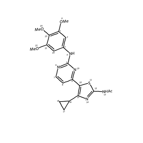 COc1cc(Nc2nccc(-c3sc(NC(C)=O)nc3C3CC3)n2)cc(OC)c1OC